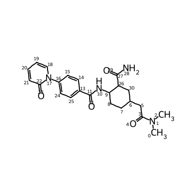 CN(C)C(=O)CC1CCC(NC(=O)c2ccc(-n3ccccc3=O)cc2)C(C(N)=O)C1